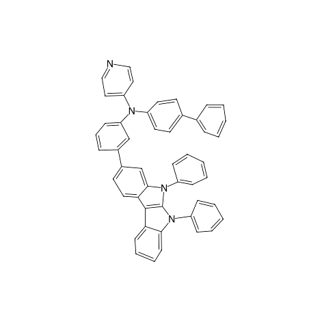 c1ccc(-c2ccc(N(c3ccncc3)c3cccc(-c4ccc5c6c7ccccc7n(-c7ccccc7)c6n(-c6ccccc6)c5c4)c3)cc2)cc1